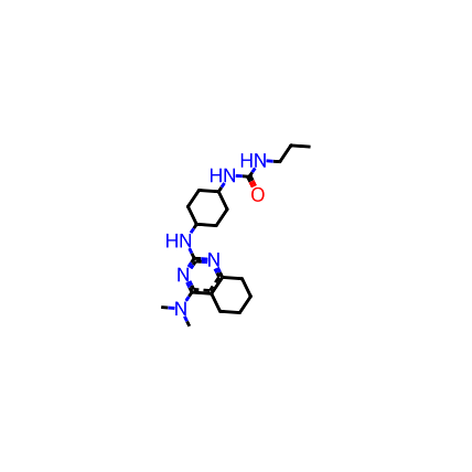 CCCNC(=O)NC1CCC(Nc2nc3c(c(N(C)C)n2)CCCC3)CC1